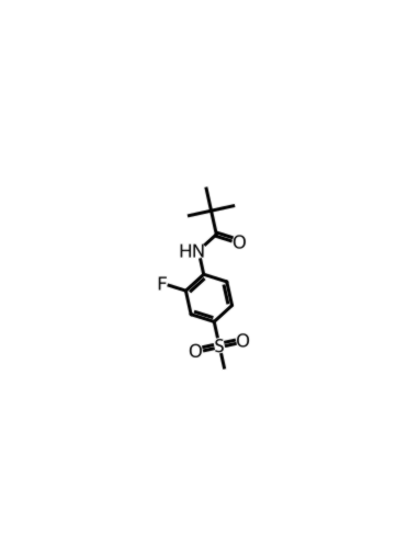 CC(C)(C)C(=O)Nc1ccc(S(C)(=O)=O)cc1F